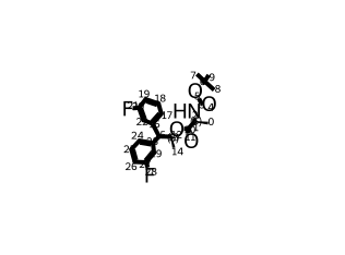 C[C@H](NC(=O)OC(C)(C)C)C(=O)O[C@@H](C)C(c1cccc(F)c1)c1cccc(F)c1